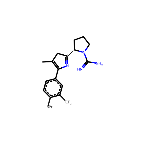 CCCc1ccc(C2=C(C)CC([C@@H]3CCCN3C(=N)N)=N2)cc1C(F)(F)F